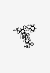 CC(C)Oc1cc(O[C@H](C)Cc2ccccc2)cc(C(=O)Nc2ccc(C(=O)O)cn2)c1